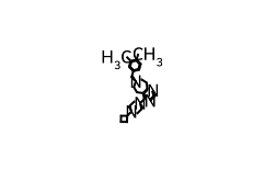 Cc1ccc(CN2CCc3ncnc(N4CCN(C5CCC5)CC4)c3CC2)cc1C